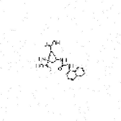 NC1(C(=O)O)CC(NC(=O)Nc2cccc3ccccc23)C2C(C(=O)O)C21